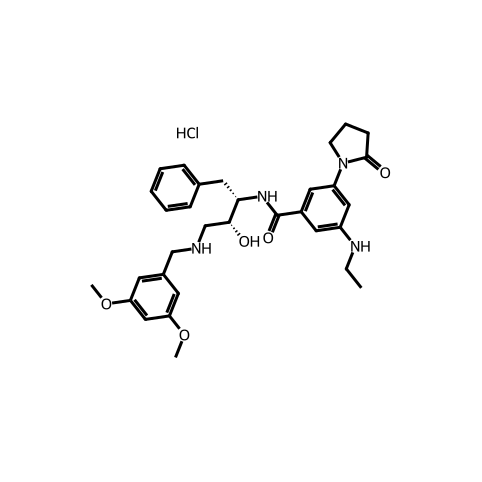 CCNc1cc(C(=O)N[C@@H](Cc2ccccc2)[C@H](O)CNCc2cc(OC)cc(OC)c2)cc(N2CCCC2=O)c1.Cl